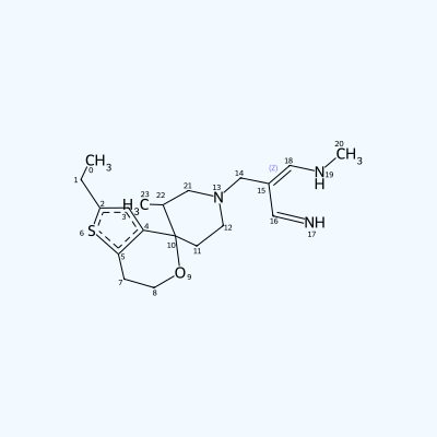 CCc1cc2c(s1)CCOC21CCN(C/C(C=N)=C/NC)CC1C